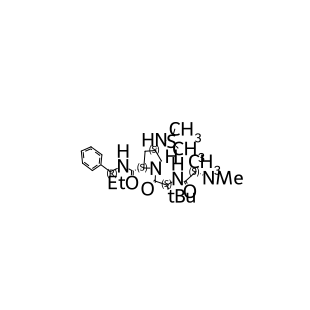 CC[C@@H](NC(=O)[C@@H]1C[C@H](N[SH](C)C)CN1C(=O)[C@@H](NC(=O)[C@H](C)NC)C(C)(C)C)c1ccccc1